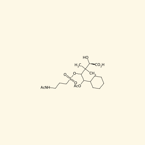 CC(=O)NCCCS(=O)(=O)OC(C(OC(C)=O)C1CCCCC1)C(C)(C)[C@@H](O)C(=O)O